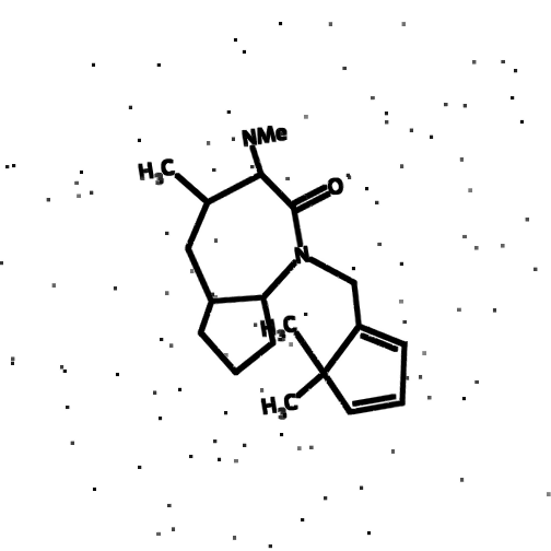 CNC1C(=O)N(CC2=CC=CC2(C)C)C2CCCC2CC1C